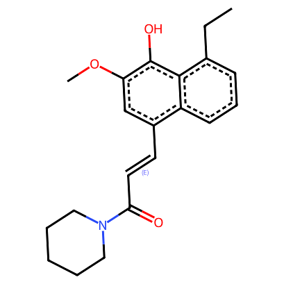 CCc1cccc2c(/C=C/C(=O)N3CCCCC3)cc(OC)c(O)c12